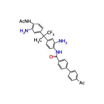 CC(=O)Nc1ccc(C(C)(c2ccc(NC(=O)c3ccc(-c4ccc(C(C)=O)cc4)cc3)c(N)c2)C(F)(F)F)cc1N